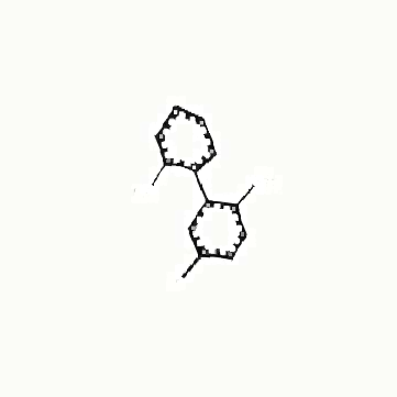 Oc1ccc(F)cc1-c1ccccc1C(F)(F)F